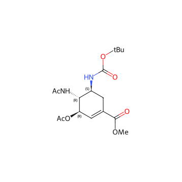 COC(=O)C1=C[C@@H](OC(C)=O)[C@H](NC(C)=O)[C@@H](NC(=O)OC(C)(C)C)C1